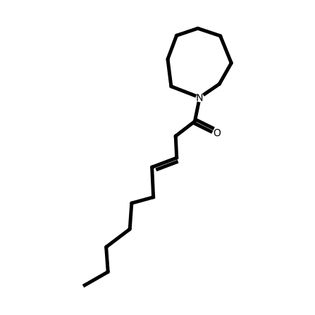 CCCCCC/C=C/CC(=O)N1CCCCCCC1